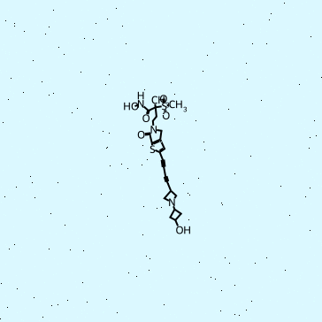 CC(CCN1Cc2cc(C#CC#CC3CN(C4CC(O)C4)C3)sc2C1=O)(C(=O)NO)S(C)(=O)=O